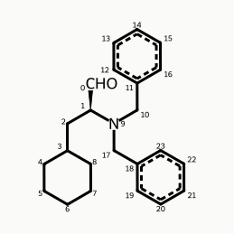 O=C[C@H](CC1CCCCC1)N(Cc1ccccc1)Cc1ccccc1